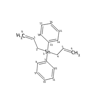 C=C[CH2][Sn]([CH2]C=C)([c]1ccccc1)[c]1ccccc1